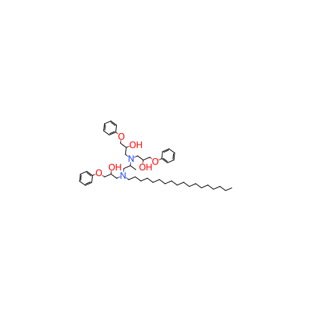 CCCCCCCCCCCCCCCCCCN(CC(O)COc1ccccc1)CC(C)N(CC(O)COc1ccccc1)CC(O)COc1ccccc1